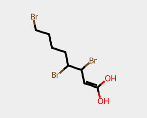 OC(O)=CC(Br)C(Br)CCCCBr